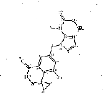 CN(C(=O)OC(C)(C)C)c1nccn1Cc1cc(Br)c2c(c1)C(=O)NCC21CC1